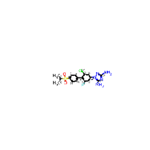 CC(C)S(=O)(=O)c1ccc(-c2c(F)cc(-n3nc(N)nc3N)cc2Cl)cc1